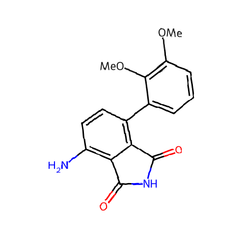 COc1cccc(-c2ccc(N)c3c2C(=O)NC3=O)c1OC